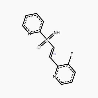 N=S(=O)(/C=C/c1ncccc1F)c1ccccn1